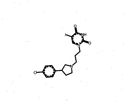 O=c1[nH]c(=O)n(CCCN2CCC(c3ccc(Cl)cc3)C2)cc1I